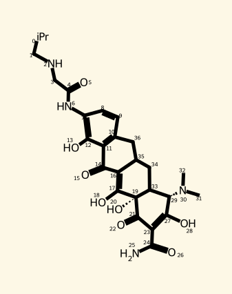 CC(C)CNCC(=O)Nc1ccc2c(c1O)C(=O)C1=C(O)[C@]3(O)C(=O)C(C(N)=O)=C(O)[C@@H](N(C)C)C3CC1C2